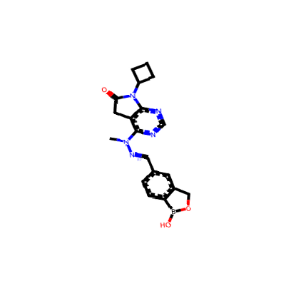 CN(/N=C/c1ccc2c(c1)COB2O)c1ncnc2c1CC(=O)N2C1CCC1